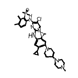 COc1cc(N2CCC(N3CCN(C)CC3)CC2)c(C2CC2)cc1Nc1ncc(Cl)c(Nc2ccc(C)c(C)c2P(C)(C)=O)n1